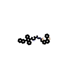 C=C(/C=C\C(=C)c1c2ccccc2c(-c2ccc3ccccc3c2)c2ccccc12)/C(C)=C/C=C1\Cc2ccc3ccc4sc5ccccc5c4c3c2S1